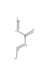 C=C(C=O)/C=C/C